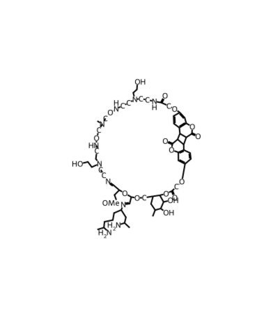 COCC1/C=N/CCN(CCO)CCNOCN(C)CONCCN(CCO)CCNC(=O)COc2ccc3c(c2)OC(=O)C2C3C3C(=O)Oc4cc(ccc4C23)OCC(=O)OC2C(COC(/C=N/C(CCCC(C)N)CC(C)N)O1)CC(C)C(O)C2O